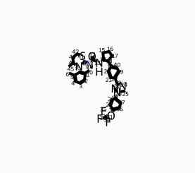 Cc1cccc(C)c1N1/C(=N/C(=O)NC2CCCC2c2ccc(-c3ncn(-c4ccc(OC(F)(F)F)cc4)n3)cc2)SCCC1C